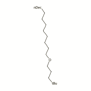 CCCCCCCCCCCCCCCCCCOCCCC(C)(C)C